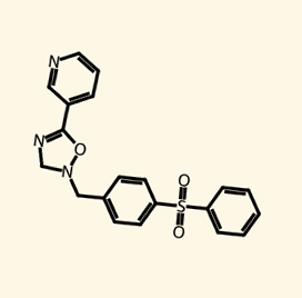 O=S(=O)(c1ccccc1)c1ccc(CN2CN=C(c3cccnc3)O2)cc1